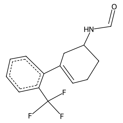 O=CNC1CCC=C(c2ccccc2C(F)(F)F)C1